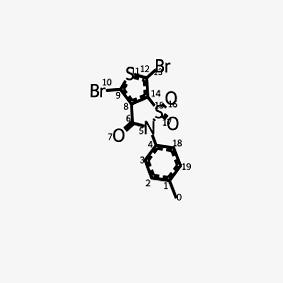 Cc1ccc(N2C(=O)c3c(Br)sc(Br)c3S2(=O)=O)cc1